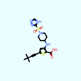 CC(C)(C)C#Cc1cc(NC2CCN(S(=O)(=O)c3nnc[nH]3)CC2)c(C(=O)O)s1